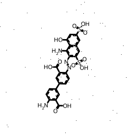 Nc1ccc(-c2ccc(N=Nc3c(S(=O)(=O)O)cc4cc(S(=O)(=O)O)cc(O)c4c3N)c(C(=O)O)c2)cc1C(=O)O